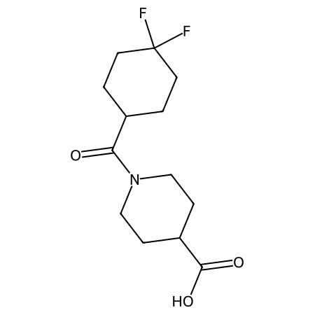 O=C(O)C1CCN(C(=O)C2CCC(F)(F)CC2)CC1